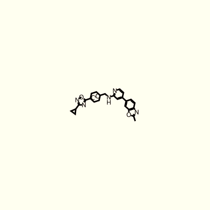 Cc1nc2ccc(-c3ccnc(NCC45CCC(c6nc(C7CC7)no6)(CC4)CC5)c3)cc2o1